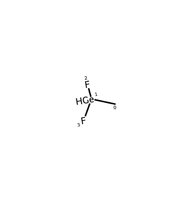 [CH3][GeH]([F])[F]